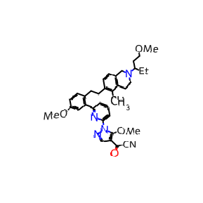 CCC(CCOC)N1CCc2c(ccc(CCc3ccc(OC)cc3-c3cccc(-n4ncc(C(=O)C#N)c4OC)n3)c2C)C1